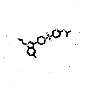 CC(C)Oc1ccc(S(=O)(=O)N2CCC(c3cn(CC=O)c4ccc(I)cc34)CC2)cn1